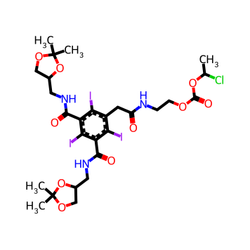 CC(Cl)OC(=O)OCCNC(=O)Cc1c(I)c(C(=O)NCC2COC(C)(C)O2)c(I)c(C(=O)NCC2COC(C)(C)O2)c1I